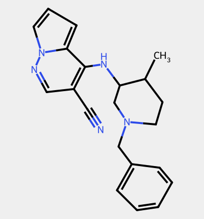 CC1CCN(Cc2ccccc2)CC1Nc1c(C#N)cnn2cccc12